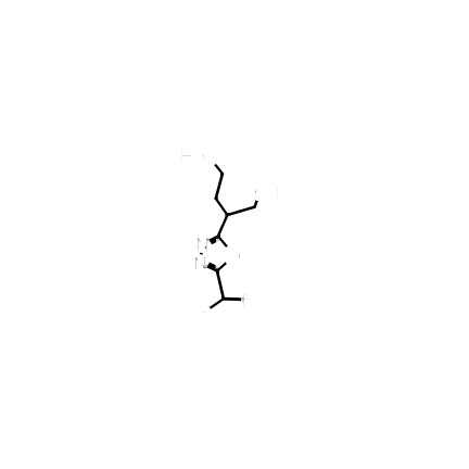 CCCC(CC)c1nnc(C(F)F)o1